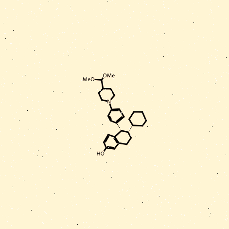 COC(OC)C1CCN(c2ccc([C@H]3c4ccc(O)cc4CC[C@H]3C3CCCCC3)cc2)CC1